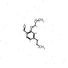 CCCc1ccc(C=O)c(OCOC)c1